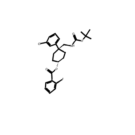 CC(C)(C)OC(=O)NC[C@]1(c2cccc(Cl)c2)CC[C@@H](OC(=O)c2ccccc2F)CC1